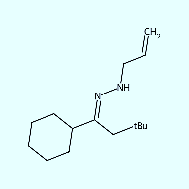 C=CCNN=C(CC(C)(C)C)C1CCCCC1